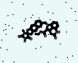 CCOC(=O)CC12CC(=O)Nc3cccc(c31)N(Cc1ccc3cc4c(cc3n1)CC1(C4)C(=O)NC(=O)N1C)C2